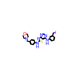 ICc1cccc(Nc2ncnc3nc(Nc4ccc(CN5CCOCC5)cc4)sc23)c1